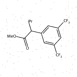 COC(=O)C(c1cc(C(F)(F)F)cc(C(F)(F)F)c1)C(C)C